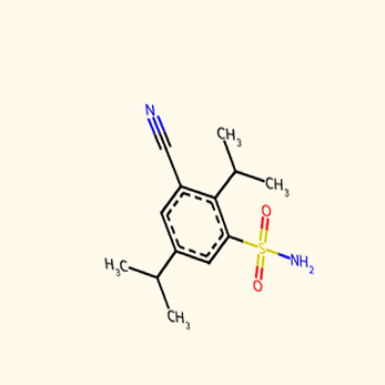 CC(C)c1cc(C#N)c(C(C)C)c(S(N)(=O)=O)c1